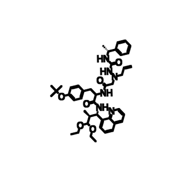 C=CCN(CC(=O)NC(Cc1ccc(OC(C)(C)C)cc1)C(=O)N[C@H](c1cccc2cccnc12)[C@H](C)C(OCC)OCC)NC(=O)N[C@H](C)c1ccccc1